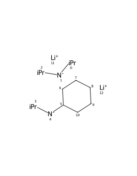 CC(C)[N-]C(C)C.CC(C)[N-]C1CCCCC1.[Li+].[Li+]